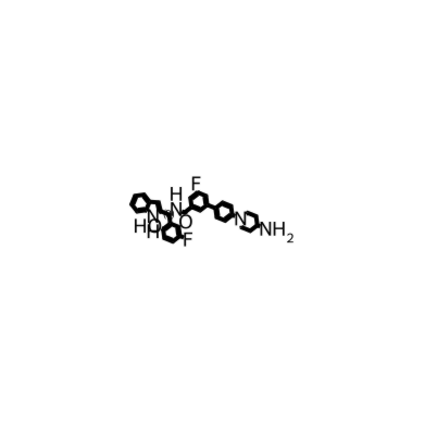 NC1CCN(c2ccc(-c3cc(F)cc(C(=O)N[C@@H](c4cc5ccccc5[nH]4)c4cc(F)ccc4O)c3)cc2)CC1